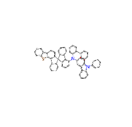 c1ccc(-c2ccccc2N(c2ccc3c(c2)c2ccccc2n3-c2ccccc2)c2cccc3c2-c2ccccc2C32c3ccccc3-c3c2ccc2c3sc3ccccc32)cc1